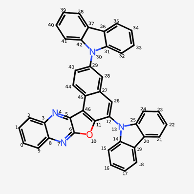 c1ccc2nc3c(nc2c1)oc1c(-n2c4ccccc4c4ccccc42)cc2cc(-n4c5ccccc5c5ccccc54)ccc2c13